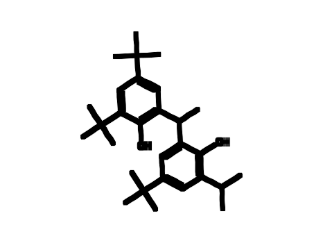 CC(C)c1cc(C(C)(C)C)cc(C(C)c2cc(C(C)(C)C)cc(C(C)(C)C)c2O)c1O